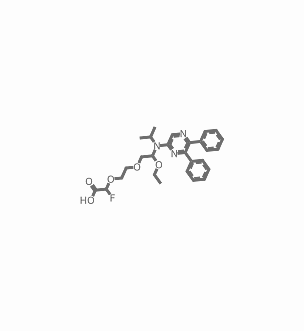 CCOC(COCCOC(F)C(=O)O)N(c1cnc(-c2ccccc2)c(-c2ccccc2)n1)C(C)C